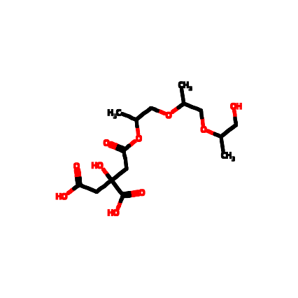 CC(CO)OCC(C)OCC(C)OC(=O)CC(O)(CC(=O)O)C(=O)O